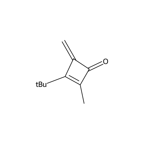 C=C1C(=O)C(C)=C1C(C)(C)C